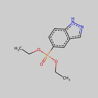 CCOP(=O)(OCC)c1ccc2[nH]ncc2c1